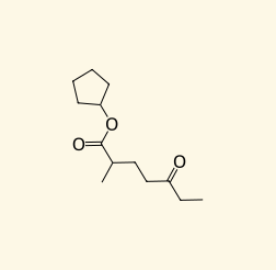 CCC(=O)CCC(C)C(=O)OC1CCCC1